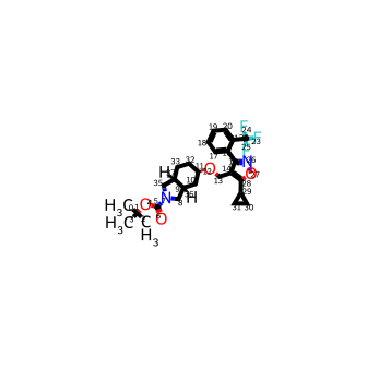 CC(C)(C)OC(=O)N1C[C@H]2C[C@H](OCc3c(-c4ccccc4C(F)(F)F)noc3C3CC3)CC[C@H]2C1